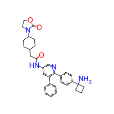 NC1(c2ccc(-c3ncc(NC(=O)CC4CCC(N5CCOC5=O)CC4)cc3-c3ccccc3)cc2)CCC1